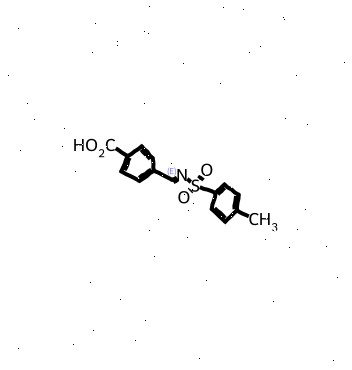 Cc1ccc(S(=O)(=O)/N=C/c2ccc(C(=O)O)cc2)cc1